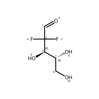 O=CC(F)(F)[C@H](O)[C@H](O)CO